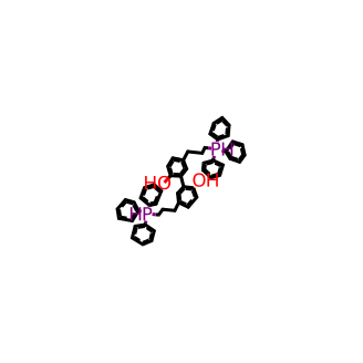 Oc1ccc(CCC[PH](c2ccccc2)(c2ccccc2)c2ccccc2)cc1-c1cc(CCC[PH](c2ccccc2)(c2ccccc2)c2ccccc2)ccc1O